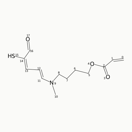 C=CC(=O)OCCCCN(C)/C=C/C=C(/S)C=O